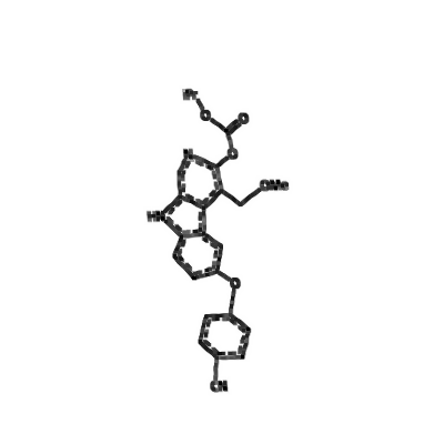 COCc1c(OC(=O)OC(C)C)ncc2[nH]c3ccc(Oc4ccc(C#N)cc4)cc3c12